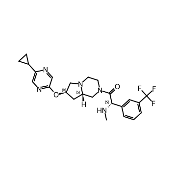 CN[C@H](C(=O)N1CCN2C[C@H](Oc3cnc(C4CC4)cn3)C[C@H]2C1)c1cccc(C(F)(F)F)c1